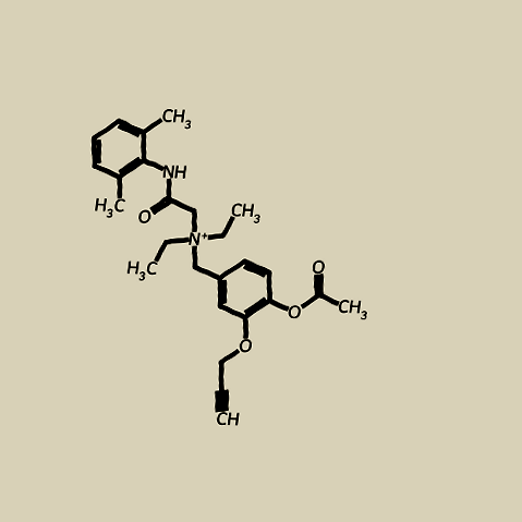 C#CCOc1cc(C[N+](CC)(CC)CC(=O)Nc2c(C)cccc2C)ccc1OC(C)=O